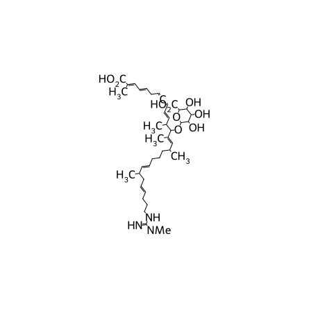 CNC(=N)NCCCC=CCC(C)C=CCCCC(C)C=C(C)C(OC1OC(C(=O)O)C(O)C(O)C1O)C(C)C=CC=C=CCC=CC=C(C)C(=O)O